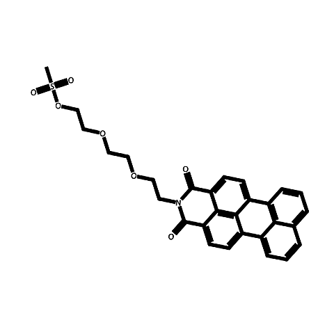 CS(=O)(=O)OCCOCCOCCN1C(=O)c2ccc3c4cccc5cccc(c6ccc(c2c36)C1=O)c54